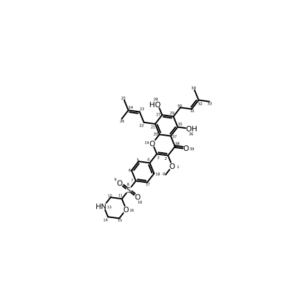 COc1c(-c2ccc(S(=O)(=O)C3CNCCO3)cc2)oc2c(CC=C(C)C)c(O)c(CC=C(C)C)c(O)c2c1=O